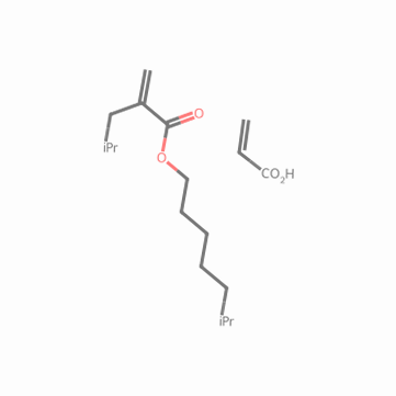 C=C(CC(C)C)C(=O)OCCCCCC(C)C.C=CC(=O)O